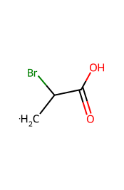 [CH2]C(Br)C(=O)O